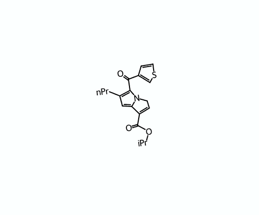 CCCc1cc2n(c1C(=O)c1ccsc1)CC=C2C(=O)OC(C)C